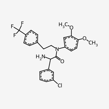 COc1ccc(N(CCc2ccc(C(F)(F)F)cc2)C(=O)C(N)c2cccc(Cl)c2)cc1OC